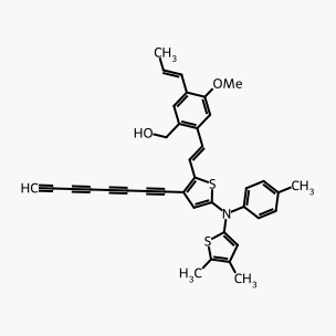 C#CC#CC#CC#Cc1cc(N(c2ccc(C)cc2)c2cc(C)c(C)s2)sc1C=Cc1cc(OC)c(C=CC)cc1CO